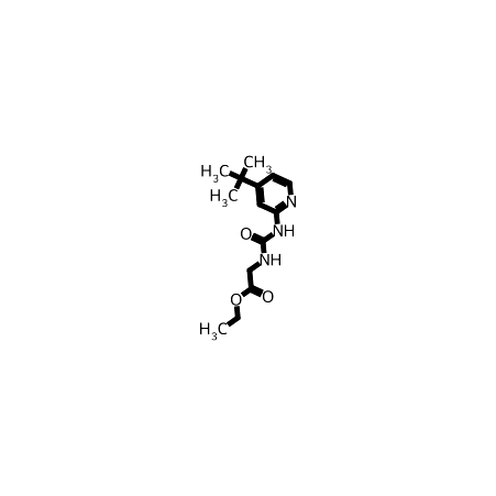 CCOC(=O)CNC(=O)Nc1cc(C(C)(C)C)ccn1